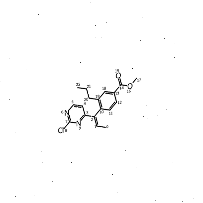 C/C=C(/c1ccnc(Cl)n1)c1ccc(C(=O)OC)cc1CCC